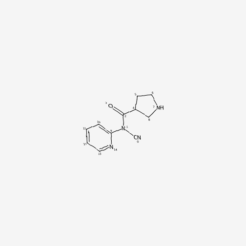 N#CN(C(=O)C1CCNC1)c1ccccn1